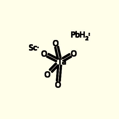 [O]=[Ta](=[O])(=[O])(=[O])=[O].[PbH2].[Sc]